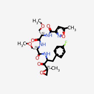 COC[C@H](NC(=O)c1cc(C)on1)C(=O)N[C@@H](COC)C(=O)NC(Cc1ccc(F)cc1)C(=O)[C@@]1(C)CO1